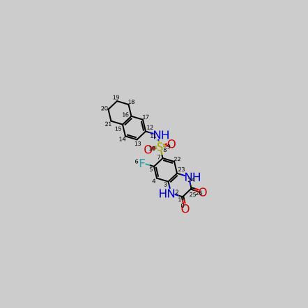 O=c1[nH]c2cc(F)c(S(=O)(=O)Nc3ccc4c(c3)CCCC4)cc2[nH]c1=O